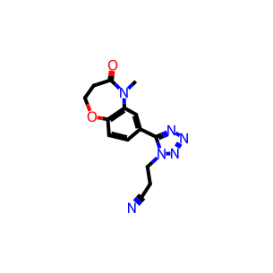 CN1C(=O)CCOc2ccc(-c3nnnn3CCC#N)cc21